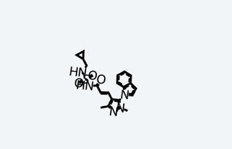 Cc1nn(C)c(-n2ccc3ccccc32)c1/C=C/C(=O)NS(=O)(=O)NCC1CC1